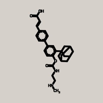 CNCCNC(=O)Oc1ccc(-c2ccc(C=CC(=O)O)cc2)cc1C12CC3CC(CC(C3)C1)C2